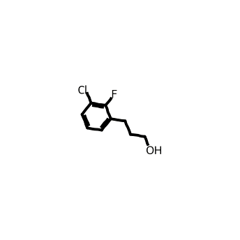 OCCCc1cccc(Cl)c1F